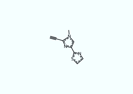 C#Cc1nc(-c2nccs2)cn1C